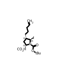 C=CCCC[C@H]1C[C@@H](C(=O)O)N(C(=O)OC(C)(C)C)[C@@H]1I